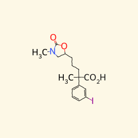 CN1CC(CCCC(C)(C(=O)O)c2cccc(I)c2)OC1=O